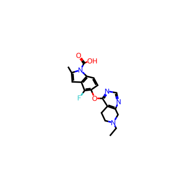 CCN1CCc2c(ncnc2Oc2ccc3c(cc(C)n3C(=O)O)c2F)C1